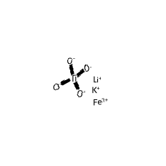 [Fe+2].[K+].[Li+].[O-][Ti]([O-])([O-])[O-]